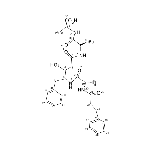 CC[C@H](C)[C@H](NC(=O)CC(O)C(Cc1ccccc1)NC(=O)[C@@H](NC(=O)CCc1ccccc1)C(C)C)C(=O)N[C@H](C(=O)O)C(C)C